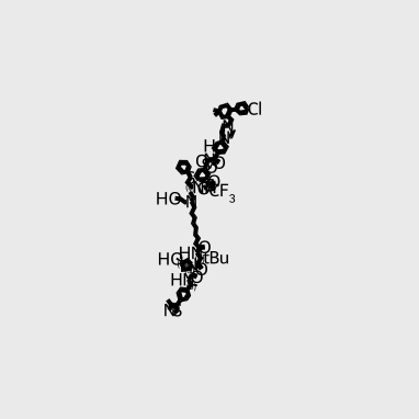 Cc1ncsc1-c1ccc([C@H](C)NC(=O)[C@@H]2C[C@@H](O)CN2C(=O)[C@@H](NC(=O)CCCCCCCCN(CCO)CC[C@H](CSc2ccccc2)Nc2ccc(S(=O)(=O)NC(=O)c3ccc(N4CCN(CC5=C(c6ccc(Cl)cc6)CCC(C)(C)C5)CC4)cc3)cc2S(=O)(=O)C(F)(F)F)C(C)(C)C)cc1